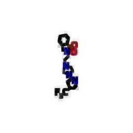 O=S1(=O)c2ccccc2CN1CCN1CCN(c2cc(C(F)(F)F)ccn2)CC1